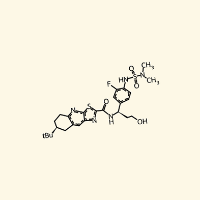 CN(C)S(=O)(=O)Nc1ccc([C@@H](CCO)NC(=O)c2nc3cc4c(nc3s2)CC[C@H](C(C)(C)C)C4)cc1F